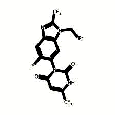 CC(C)Cn1c(C(F)(F)F)nc2cc(F)c(-n3c(=O)cc(C(F)(F)F)[nH]c3=O)cc21